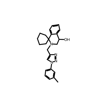 Cc1cccc(-n2cc(CN3CC(O)c4ccccc4C34CCCCC4)nn2)c1